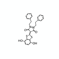 O=C1C(=C2Sc3c(O)ccc(O)c3S2)C(=O)N(CCc2ccccc2)N1CCc1ccccc1